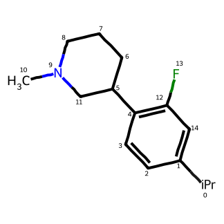 CC(C)c1ccc(C2CCCN(C)C2)c(F)c1